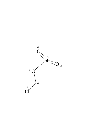 O=[SH](=O)O[CH]Cl